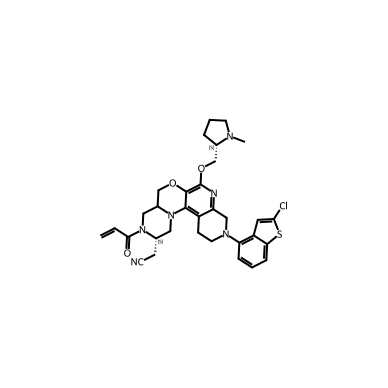 C=CC(=O)N1CC2COc3c(OC[C@@H]4CCCN4C)nc4c(c3N2C[C@@H]1CC#N)CCN(c1cccc2sc(Cl)cc12)C4